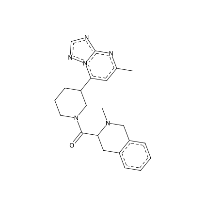 Cc1cc(C2CCCN(C(=O)C3Cc4ccccc4CN3C)C2)n2ncnc2n1